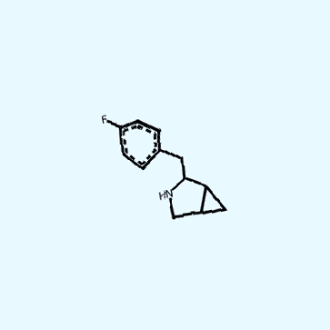 Fc1ccc(CC2NCC3CC32)cc1